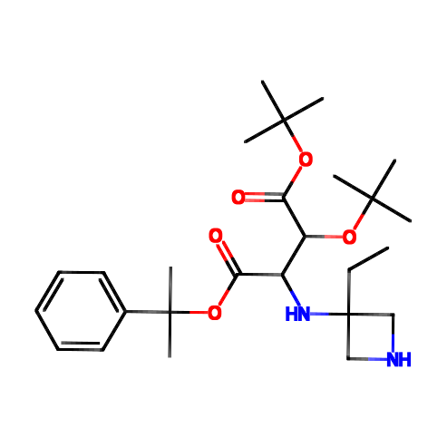 CCC1(NC(C(=O)OC(C)(C)c2ccccc2)C(OC(C)(C)C)C(=O)OC(C)(C)C)CNC1